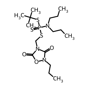 CCCN(CCC)P(=S)(SCn1c(=O)on(CCC)c1=O)SC(C)(C)C